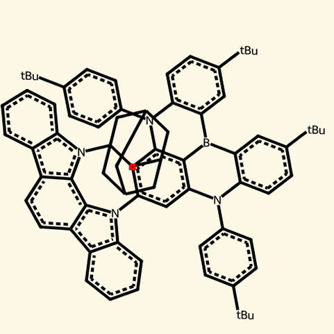 CC(C)(C)c1ccc(N2c3ccc(C(C)(C)C)cc3B3c4cc(C(C)(C)C)ccc4N(c4ccc(C(C)(C)C)cc4)c4cc(-n5c6ccccc6c6ccc7c8ccccc8n(C89CC%10CC(CC(C%10)C8)C9)c7c65)cc2c43)cc1